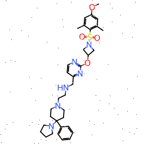 COc1cc(C)c(S(=O)(=O)N2CC(Oc3nccc(CNCCN4CCC(c5ccccc5)(N5CCCC5)CC4)n3)C2)c(C)c1